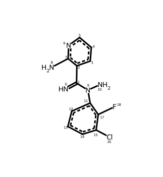 N=C(c1cccnc1N)N(N)c1cccc(Cl)c1F